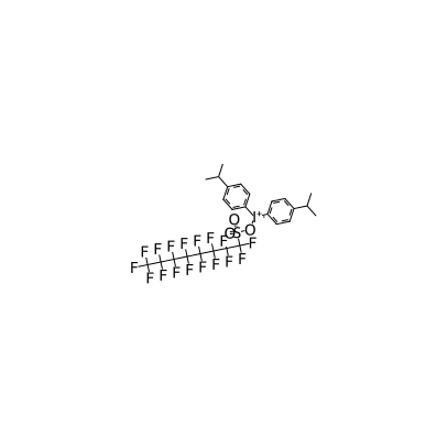 CC(C)c1ccc([I+](OS(=O)(=O)C(F)(F)C(F)(F)C(F)(F)C(F)(F)C(F)(F)C(F)(F)C(F)(F)C(F)(F)F)c2ccc(C(C)C)cc2)cc1